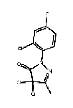 CC1=NN(c2ccc(Cl)cc2Cl)C(=O)C1(Cl)Cl